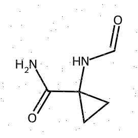 NC(=O)C1(NC=O)CC1